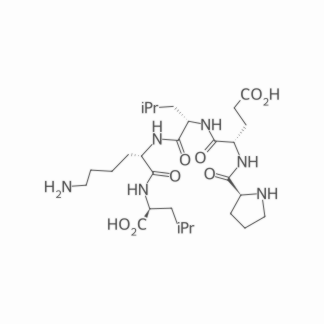 CC(C)C[C@H](NC(=O)[C@H](CCCCN)NC(=O)[C@H](CC(C)C)NC(=O)[C@H](CCC(=O)O)NC(=O)[C@@H]1CCCN1)C(=O)O